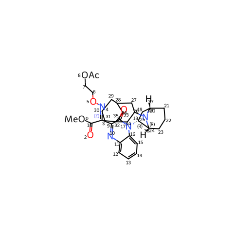 COC(=O)/C(=N\OCCOC(C)=O)c1nc2ccccc2n([C@@H]2C[C@@H]3CCC[C@H]2N3C2CC3CCCC(C3)C2)c1=O